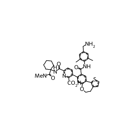 CNC(=O)C1(NC(=O)c2ccc(-c3cc4c(cc3C(=O)Nc3c(C)cc(CN)cc3C)-c3sccc3CCO4)c(C(=O)O)n2)CCCCC1